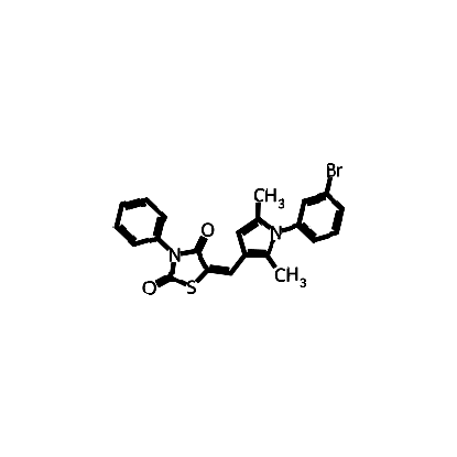 Cc1cc(/C=C2/SC(=O)N(c3ccccc3)C2=O)c(C)n1-c1cccc(Br)c1